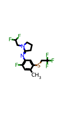 Cc1cc(F)c(/N=C2\CCCN2CC(F)F)cc1SCC(F)(F)F